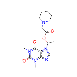 CC(OC(=O)CN1CCCCC1)n1cnc2c1c(=O)n(C)c(=O)n2C